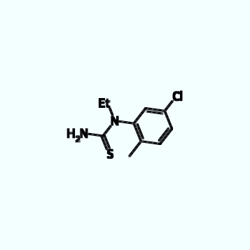 CCN(C(N)=S)c1cc(Cl)ccc1C